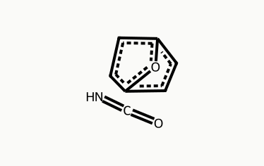 N=C=O.c1cc2ccc1o2